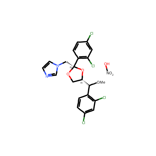 COC(c1ccc(Cl)cc1Cl)[C@@H]1CO[C@@](Cn2ccnc2)(c2ccc(Cl)cc2Cl)O1.O=[N+]([O-])O